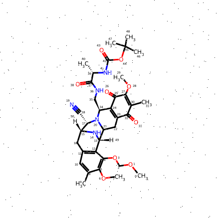 COCOc1c(OC)c(C)cc2c1[C@@H]1N[C@H](C2)[C@H](C#N)N2C1CC1=C(C(=O)C(OC)=C(C)C1=O)[C@@H]2CNC(=O)[C@H](C)NC(=O)OC(C)(C)C